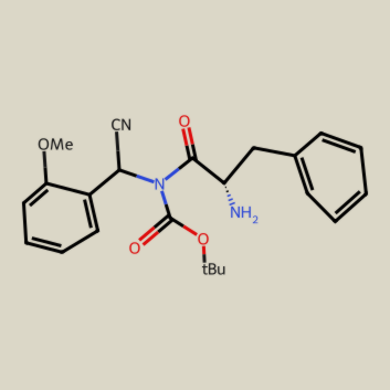 COc1ccccc1C(C#N)N(C(=O)OC(C)(C)C)C(=O)[C@@H](N)Cc1ccccc1